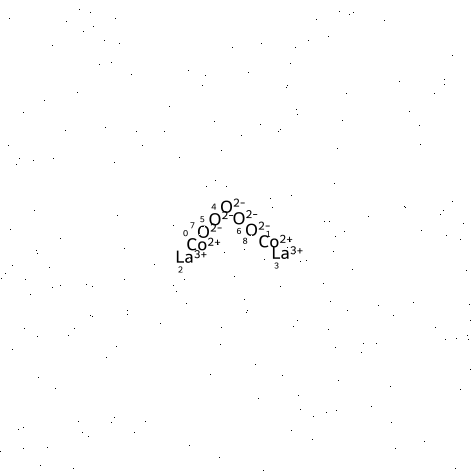 [Co+2].[Co+2].[La+3].[La+3].[O-2].[O-2].[O-2].[O-2].[O-2]